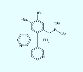 CC(C)(C)c1cc(CP(C(C)(C)C)C(C)(C)C)c(C(P)(c2cccnc2)c2cccnc2)cc1C(C)(C)C